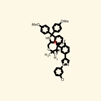 COc1ccc(C(NC2=NC(C)(c3cc(-c4cnn(-c5cccc(Cl)c5)c4)ccc3F)C(F)(F)C(C)(C)OC2)(c2ccccc2)c2ccc(OC)cc2)cc1